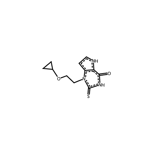 O=c1[nH]c(=S)n(CCOC2CC2)c2cc[nH]c12